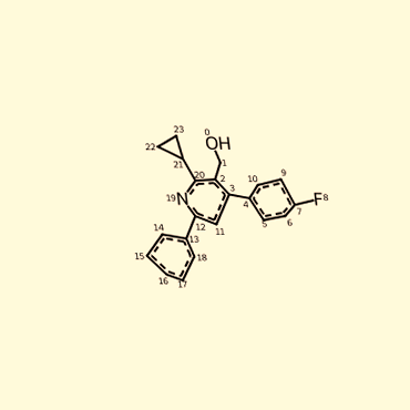 OCc1c(-c2ccc(F)cc2)cc(-c2ccccc2)nc1C1CC1